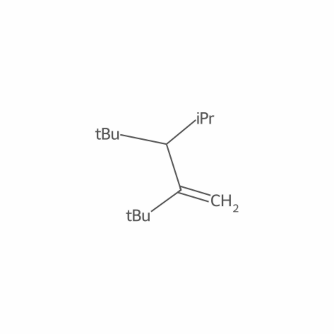 C=C(C(C(C)C)C(C)(C)C)C(C)(C)C